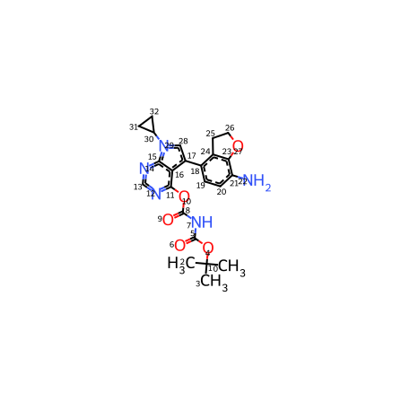 CC(C)(C)OC(=O)NC(=O)Oc1ncnc2c1c(-c1ccc(N)c3c1CCO3)cn2C1CC1